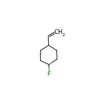 C=CC1CCC(F)CC1